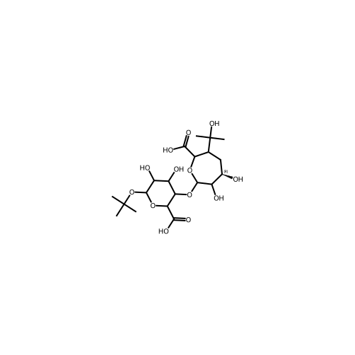 CC(C)(C)OC1OC(C(=O)O)C(OC2OC(C(=O)O)C(C(C)(C)O)C[C@@H](O)C2O)C(O)C1O